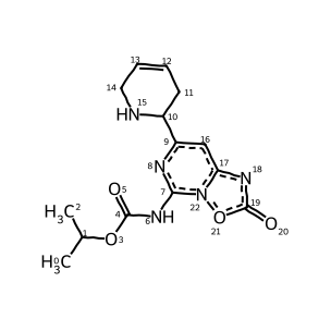 CC(C)OC(=O)Nc1nc(C2CC=CCN2)cc2nc(=O)on12